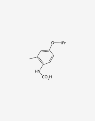 Cc1cc(OC(C)C)ccc1NC(=O)O